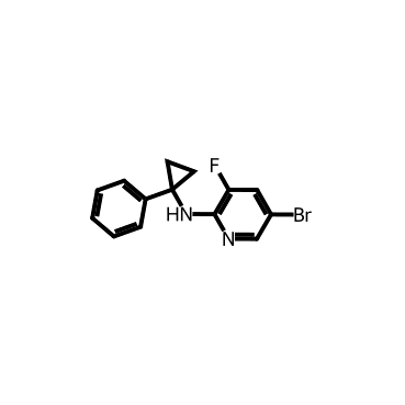 Fc1cc(Br)cnc1NC1(c2ccccc2)CC1